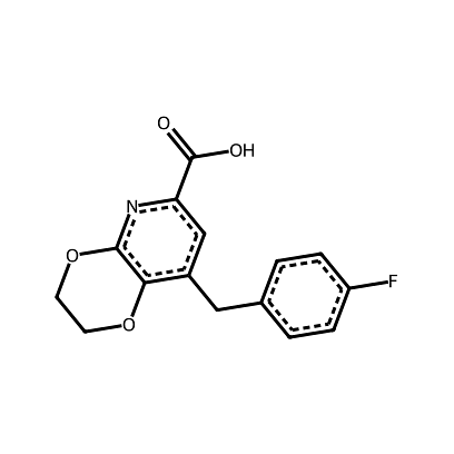 O=C(O)c1cc(Cc2ccc(F)cc2)c2c(n1)OCCO2